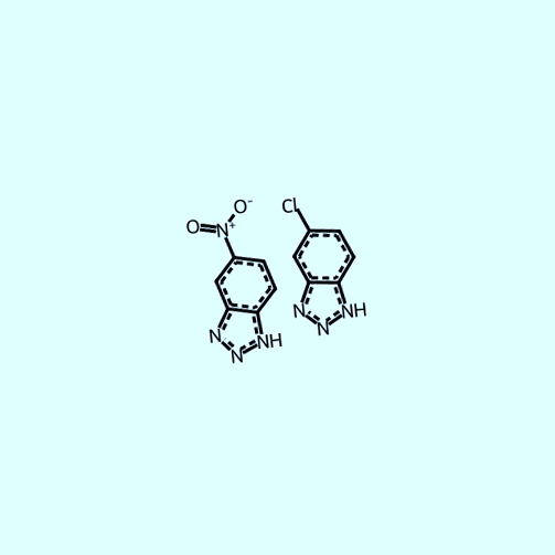 Clc1ccc2[nH]nnc2c1.O=[N+]([O-])c1ccc2[nH]nnc2c1